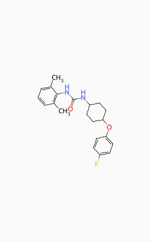 Cc1cccc(C)c1NC(=O)NC1CCC(Oc2ccc(F)cc2)CC1